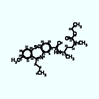 CCCC1=Nc2cc(C(=O)NC(C)CCN(C)C(=O)OCC)ccc2Sc2ccc(C)cc21